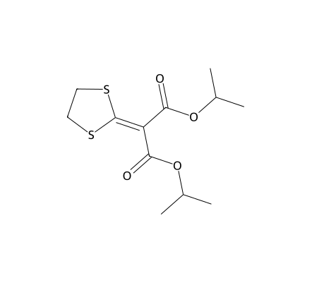 CC(C)OC(=O)C(C(=O)OC(C)C)=C1SCCS1